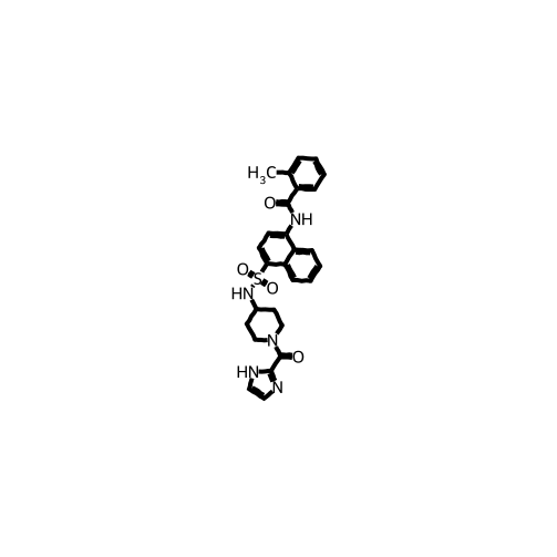 Cc1ccccc1C(=O)Nc1ccc(S(=O)(=O)NC2CCN(C(=O)c3ncc[nH]3)CC2)c2ccccc12